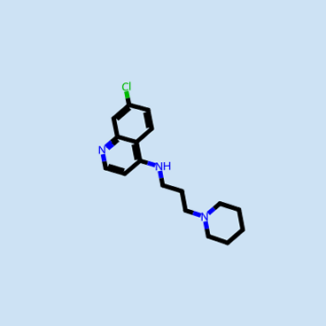 Clc1ccc2c(NCCCN3CCCCC3)ccnc2c1